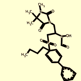 CCCCC1(S(=O)(=O)CC(CN2C(=O)N(C)C(C)(C)C2=O)N(O)C=O)C=CC(c2ccccc2)C=C1